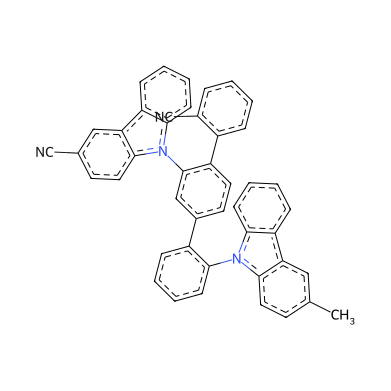 Cc1ccc2c(c1)c1ccccc1n2-c1ccccc1-c1ccc(-c2ccccc2C#N)c(-n2c3ccccc3c3cc(C#N)ccc32)c1